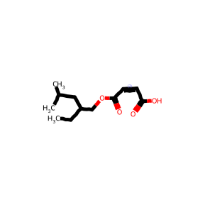 CCC(COC(=O)/C=C\C(=O)O)CC(C)C